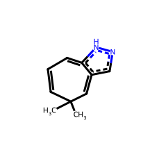 CC1(C)C=CC=c2[nH]ncc2=C1